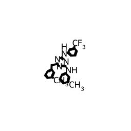 Cc1cccc(Cc2nc(Nc3cccc(C)c3)nc(Nc3cccc(C(F)(F)F)c3)n2)c1